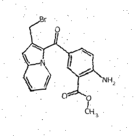 COC(=O)c1cc(C(=O)c2c(CBr)cc3ccccn23)ccc1N